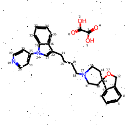 O=C(O)C(=O)O.c1ccc2c(c1)COC21CCN(CCCCc2cn(-c3ccncc3)c3ccccc23)CC1